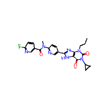 CCCn1c(=O)n(C2CC2)c(=O)c2[nH]c(-c3ccc(N(C)C(=O)c4ccc(F)nc4)nc3)nc21